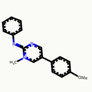 COc1ccc(-c2cnc(=Nc3ccccc3)n(C)c2)cc1